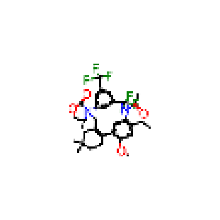 CCc1cc(OC)c(C2=C(C[N+]3(c4cc(C(F)(F)F)cc(C(F)(F)F)c4)C(=O)OC[C@@H]3C)CC(C)(C)CC2)cc1N(C)C(C)=O